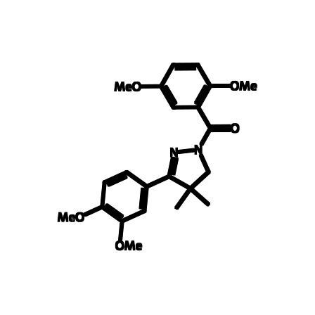 COc1ccc(OC)c(C(=O)N2CC(C)(C)C(c3ccc(OC)c(OC)c3)=N2)c1